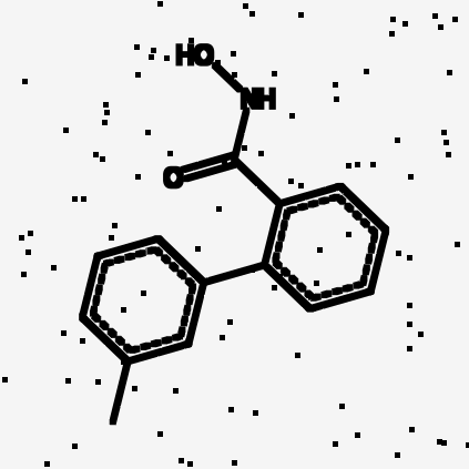 Cc1cccc(-c2ccccc2C(=O)NO)c1